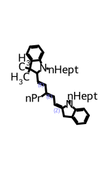 CCCCCCCN1\C(=C/C=C(/C=C/C2N(CCCCCCC)c3ccccc3C2(C)C)CCC)Cc2ccccc21